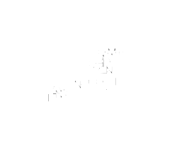 COc1ccc2nccc([C@@H](O)CC[C@@H]3CCN(CCSc4cccc(F)n4)C[C@@H]3C(=O)O)c2c1